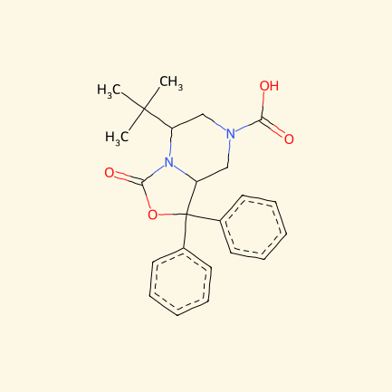 CC(C)(C)C1CN(C(=O)O)CC2N1C(=O)OC2(c1ccccc1)c1ccccc1